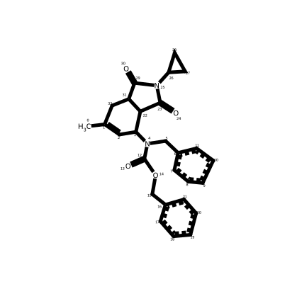 CC1=CC(N(Cc2ccccc2)C(=O)OCc2ccccc2)C2C(=O)N(C3CC3)C(=O)C2C1